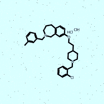 Cc1cccc(CN2CCCc3ccc(OCCC4CCN(Cc5ccccc5Cl)CC4)cc3C2)c1.Cl.Cl